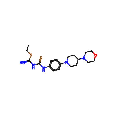 CCSC(=N)NC(=S)Nc1ccc(N2CCC(N3CCOCC3)CC2)cc1